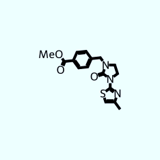 COC(=O)c1ccc(CN2CCN(c3nc(C)cs3)C2=O)cc1